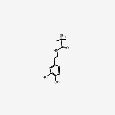 CC(C)(N)C(=O)NCCc1ccc(O)c(O)c1